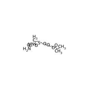 CCC(C)C(=O)OCCOCOCCSCC(C)C(=O)NCC(N)=O